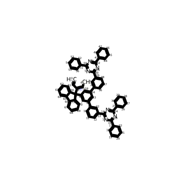 C=C/C(=C\C)C1(c2cc(-c3cccc(-c4nc(-c5ccccc5)nc(-c5ccccc5)n4)c3)cc(-c3cccc(-c4nc(-c5ccccc5)nc(-c5ccccc5)n4)c3)c2)c2ccccc2-c2ccccc21